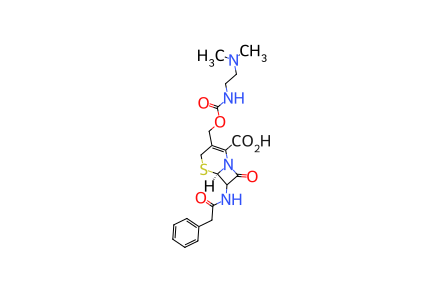 CN(C)CCNC(=O)OCC1=C(C(=O)O)N2C(=O)C(NC(=O)Cc3ccccc3)[C@H]2SC1